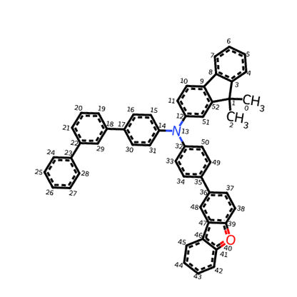 CC1(C)c2ccccc2-c2ccc(N(c3ccc(-c4cccc(-c5ccccc5)c4)cc3)c3ccc(-c4ccc5oc6ccccc6c5c4)cc3)cc21